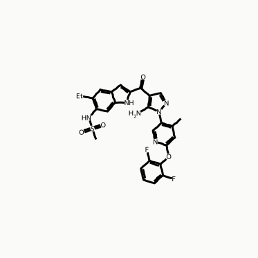 CCc1cc2cc(C(=O)c3cnn(-c4cnc(Oc5c(F)cccc5F)cc4C)c3N)[nH]c2cc1NS(C)(=O)=O